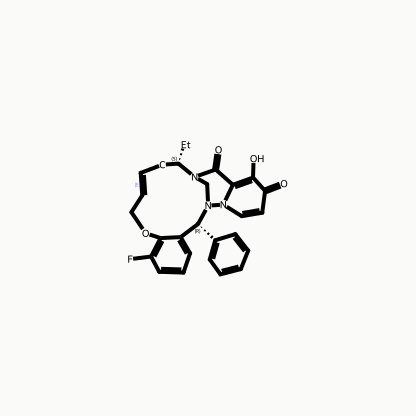 CC[C@H]1C/C=C/COc2c(F)cccc2[C@@H](c2ccccc2)N2CN1C(=O)c1c(O)c(=O)ccn12